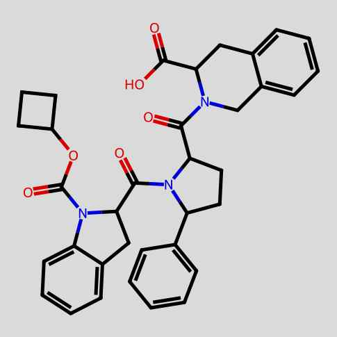 O=C(O)C1Cc2ccccc2CN1C(=O)C1CCC(c2ccccc2)N1C(=O)C1Cc2ccccc2N1C(=O)OC1CCC1